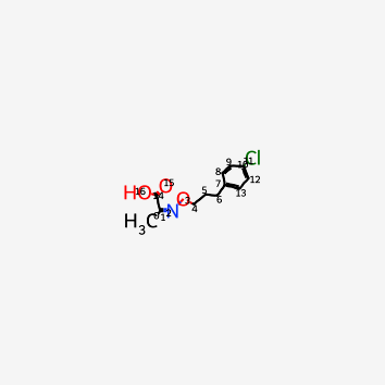 CC(=NOCCCc1ccc(Cl)cc1)C(=O)O